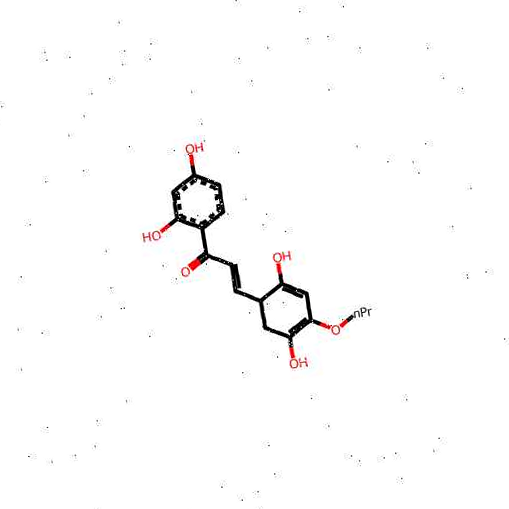 CCCOC1=C(O)CC(/C=C/C(=O)c2ccc(O)cc2O)C(O)=C1